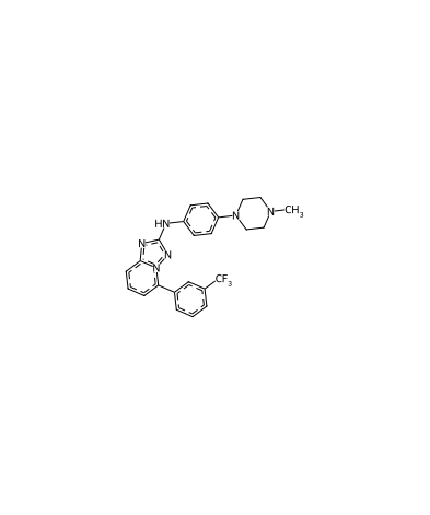 CN1CCN(c2ccc(Nc3nc4cccc(-c5cccc(C(F)(F)F)c5)n4n3)cc2)CC1